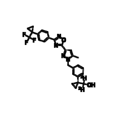 [2H]C([2H])(O)C1(c2cccc(Cn3nc(-c4nc(-c5ccc(C6(C(F)(F)F)CC6)cc5)no4)cc3C)c2)CC1